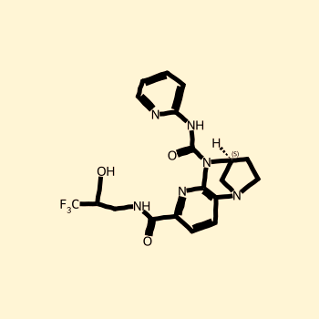 O=C(NCC(O)C(F)(F)F)c1ccc2c(n1)N(C(=O)Nc1ccccn1)[C@H]1CCN2C1